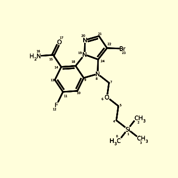 C[Si](C)(C)CCOCn1c2cc(F)cc(C(N)=O)c2n2ncc(Br)c12